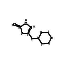 O=C1CC(CC2CCCCC2)=NO1